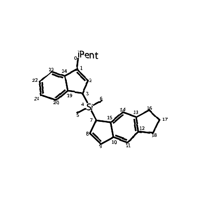 CCCC(C)C1=CC([Si](C)(C)C2C=Cc3cc4c(cc32)CCC4)c2ccccc21